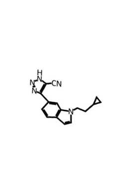 N#Cc1[nH]nnc1-c1ccc2ccn(CCC3CC3)c2c1